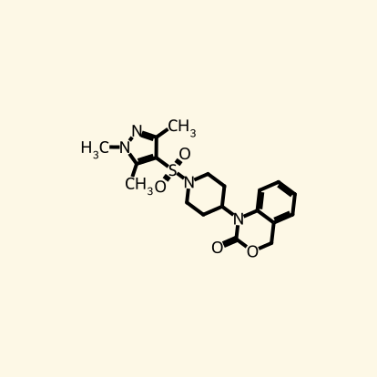 Cc1nn(C)c(C)c1S(=O)(=O)N1CCC(N2C(=O)OCc3ccccc32)CC1